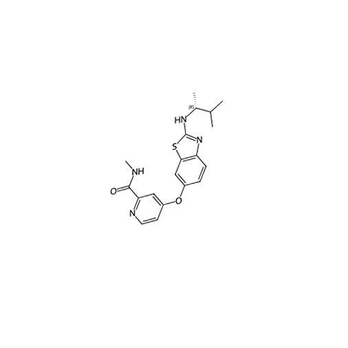 CNC(=O)c1cc(Oc2ccc3nc(N[C@H](C)C(C)C)sc3c2)ccn1